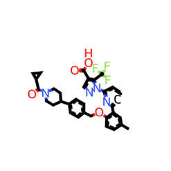 Cc1ccc(OCc2ccc(C3CCN(C(=O)C4CC4)CC3)cc2)c(-c2cccc(-n3ncc(C(=O)O)c3C(F)(F)F)n2)c1